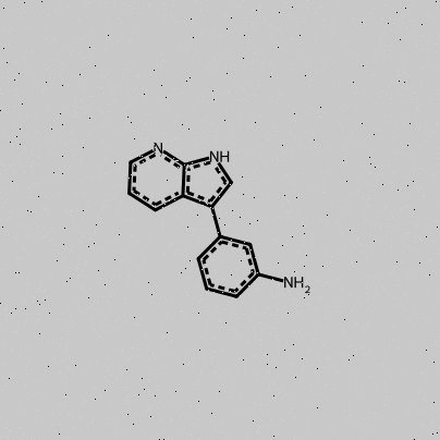 Nc1cccc(-c2c[nH]c3ncccc23)c1